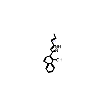 C/C=C/c1cc(-c2ccc3ccccc3c2O)n[nH]1